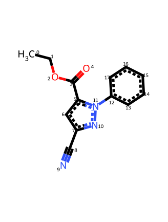 CCOC(=O)c1cc(C#N)nn1-c1ccccc1